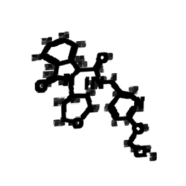 O=C(NCc1ccc(OCC(F)(F)F)nc1)C1c2ccccc2C(=O)N1C1CCOCC1